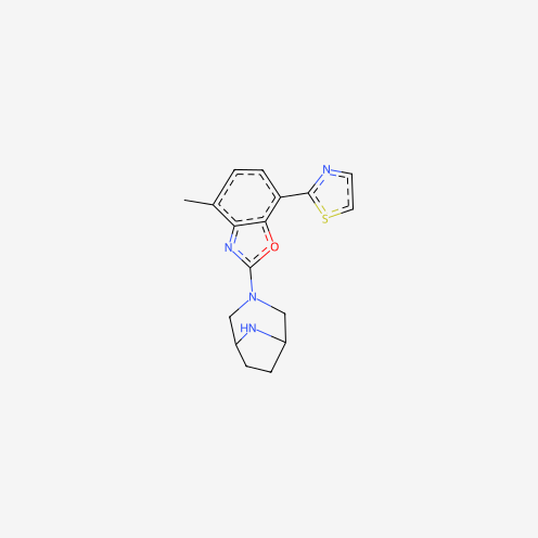 Cc1ccc(-c2nccs2)c2oc(N3CC4CCC(C3)N4)nc12